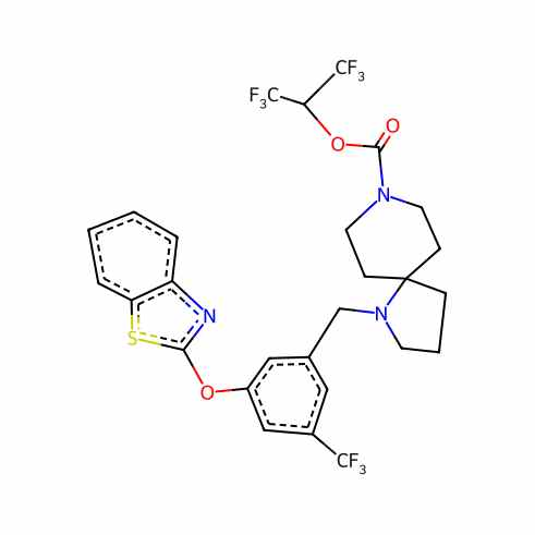 O=C(OC(C(F)(F)F)C(F)(F)F)N1CCC2(CCCN2Cc2cc(Oc3nc4ccccc4s3)cc(C(F)(F)F)c2)CC1